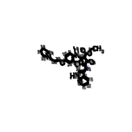 CCOC(=O)C1=C(Nc2ccc(OCCN3CCCC3)cc2C)O/C(=C\c2c[nH]c3ncccc23)C1=O